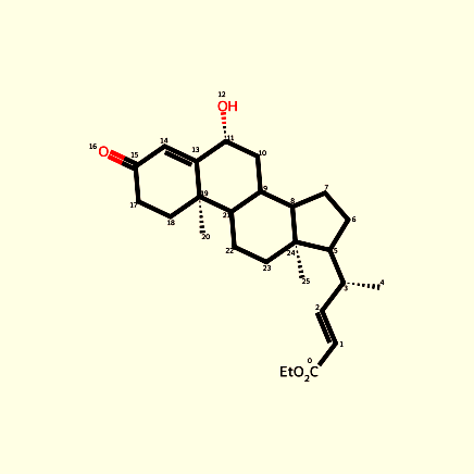 CCOC(=O)/C=C/[C@@H](C)C1CCC2C3C[C@@H](O)C4=CC(=O)CC[C@]4(C)C3CC[C@@]21C